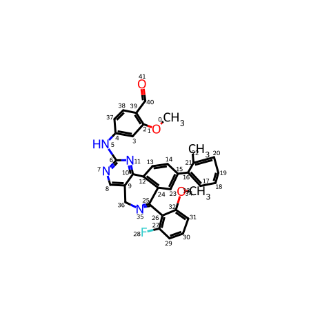 COc1cc(Nc2ncc3c(n2)-c2ccc(-c4ccccc4C)cc2C(c2c(F)cccc2OC)=NC3)ccc1C=O